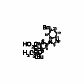 CC(C)(C)[Si](C)(C)Oc1cc(-n2cnc3ccc(Br)cc32)sc1C(=O)O